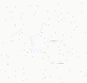 CCc1nc2ccccc2n1C(C)(C)C